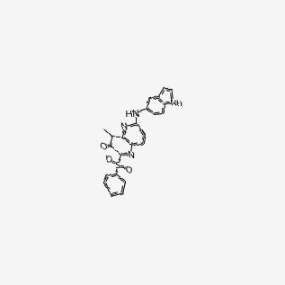 CC1C(=O)C(S(=O)(=O)c2ccccc2)=Nc2ccc(Nc3ccc4[nH]ccc4c3)nc21